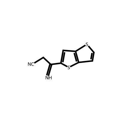 N#CCC(=N)c1cc2sccc2s1